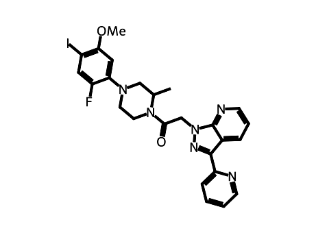 COc1cc(N2CCN(C(=O)Cn3nc(-c4ccccn4)c4cccnc43)C(C)C2)c(F)cc1I